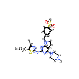 CCOC(=O)c1sc(Nc2nc(N3CCN(C)CC3)c3c(n2)N(Cc2ccc(S(C)(=O)=O)cc2)CC3)nc1C